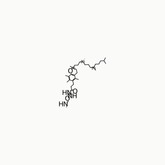 CNCONNC(=O)CCc1c(C)c(C)c2c(c1C)CC[C@@](C)(CCC[C@H](C)CCC[C@H](C)CCCC(C)C)O2